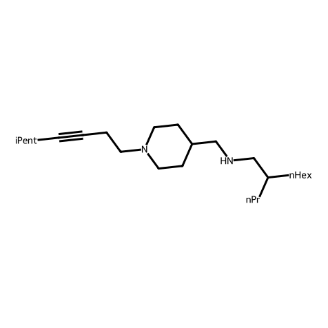 CCCCCCC(CCC)CNCC1CCN(CCC#CC(C)CCC)CC1